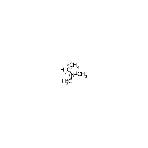 C.CN(C)C